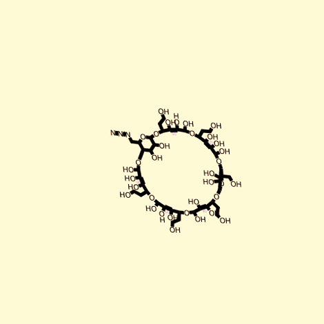 [N-]=[N+]=NCC1OC2OC(CCO)/C(O)=C(/O)C(O)OC(CCO)/C(O)=C(/O)C(O)OC3C(CO)OC(OC(CCO)/C(O)=C(\O)C(O)OC(CCO)/C(O)=C(/O)C(O)OC(CCO)/C(O)=C(/O)C(O)OC1C(O)C2O)C(O)C3O